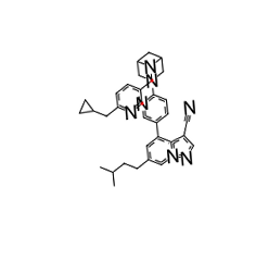 CC(C)CCc1cc(-c2ccc(N3CC4CC(C3)N4Cc3ccc(CC4CC4)nc3)nc2)c2c(C#N)cnn2c1